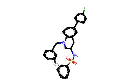 N#Cc1cccc(CN2CC(NS(=O)(=O)c3ccccc3)Cc3cc(-c4ccc(F)cc4)ccc32)c1